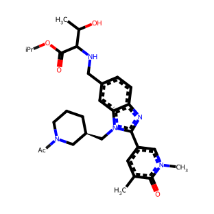 CC(=O)N1CCC[C@@H](Cn2c(-c3cc(C)c(=O)n(C)c3)nc3ccc(CNC(C(=O)OC(C)C)C(C)O)cc32)C1